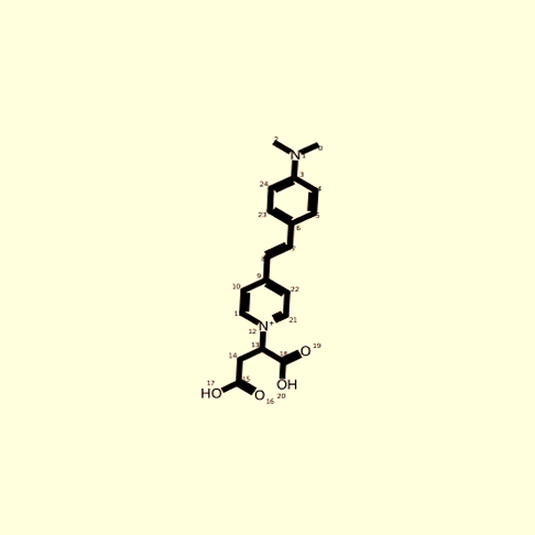 CN(C)c1ccc(/C=C/c2cc[n+](C(CC(=O)O)C(=O)O)cc2)cc1